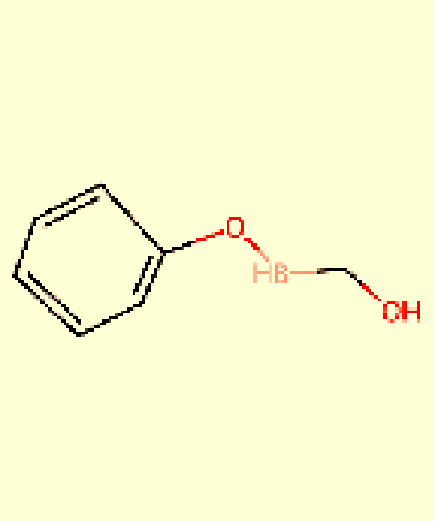 OCBOc1ccccc1